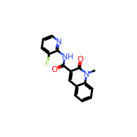 Cn1c(=O)c(C(=O)Nc2ncccc2F)cc2ccccc21